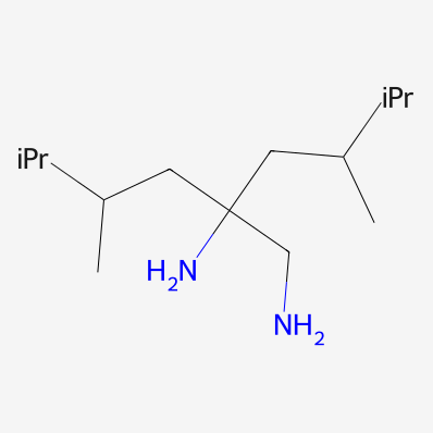 CC(C)C(C)CC(N)(CN)CC(C)C(C)C